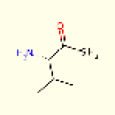 CC(C)[C@H](N)C(=O)[SiH3]